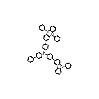 c1ccc(-c2ccc(N(c3ccc(-c4ccc5c(c4)N(c4ccccc4)c4ccccc4N5c4ccccc4)cc3)c3ccc(-c4ccc5c(c4)c4ccccc4n5-c4ccccc4)cc3)cc2)cc1